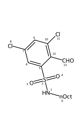 CCCCCCCCNS(=O)(=O)c1cc(Cl)cc(Cl)c1C=O